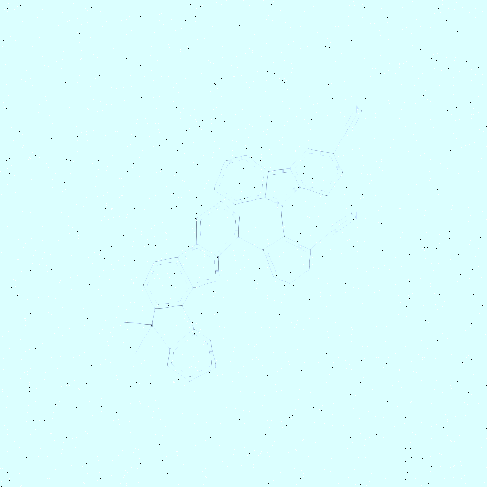 CC1(C)c2ccccc2-c2c1ccc1c2oc2c(C3=CCCC(C#N)=C3n3c4ccccc4c4cc(C#N)ccc43)cccc21